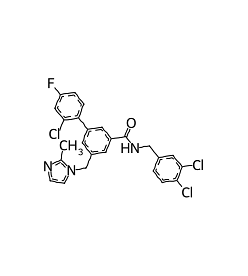 Cc1nccn1Cc1cc(C(=O)NCc2ccc(Cl)c(Cl)c2)cc(-c2ccc(F)cc2Cl)c1